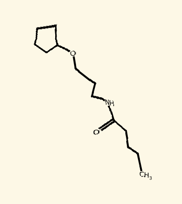 CCCCC(=O)NCCCOC1CCCC1